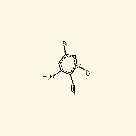 N#Cc1c(N)cc(Br)c[n+]1[O-]